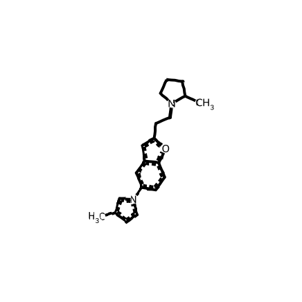 Cc1ccn(-c2ccc3oc(CCN4CCCC4C)cc3c2)c1